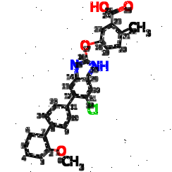 COc1ccccc1-c1ccc(-c2cc3nc(Oc4ccc(C)c(C(=O)O)c4)[nH]c3cc2Cl)cc1